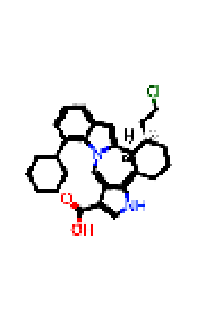 O=C(O)c1c[nH]c2c1=Cn1c(cc3cccc(C4CCCCC4)c31)[C@@H]1C=2CCC[C@@H]1CCCl